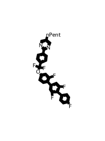 CCCCCc1cnc(-c2ccc(C(F)(F)Oc3ccc(-c4cc(F)c(-c5ccc(F)cc5)c(F)c4)c(F)c3)cc2)nc1